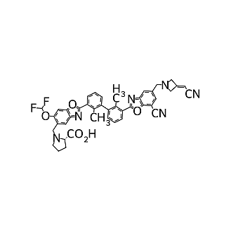 Cc1c(-c2nc3cc(CN4CCC[C@H]4C(=O)O)c(OC(F)F)cc3o2)cccc1-c1cccc(-c2nc3cc(CN4CC(=CC#N)C4)cc(C#N)c3o2)c1C